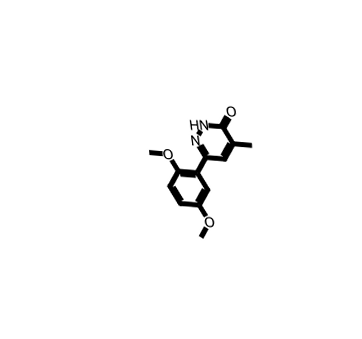 COc1ccc(OC)c(-c2cc(C)c(=O)[nH]n2)c1